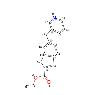 CCOC(=O)C1=Cc2ccc(Cc3cccnc3)cc2C1